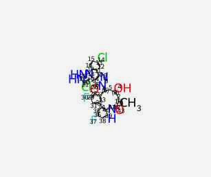 C[C@@H]1C[C@@H](O)C[C@H](n2cnc(-c3cc(Cl)ccc3N3C=C(Cl)NN3)cc2=O)c2cc(F)cc(c2)-c2cc(F)ccc2NC1=O